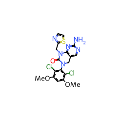 COc1cc(OC)c(Cl)c(N2Cc3cnc(N)nc3N(Cc3nccs3)C2=O)c1Cl